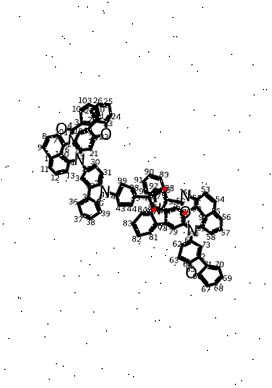 c1ccc(-c2nc3c(ccc4cccc(N(c5ccc6c(c5)oc5ccccc56)c5ccc6c(c5)c5ccccc5n6-c5ccc(-c6ccc(-c7nc8ccc9cccc(N(c%10ccc%11oc%12ccccc%12c%11c%10)c%10ccc%11c(c%10)c%10ccccc%10n%11-c%10ccccc%10)c9c8o7)cc6)cc5)c43)o2)cc1